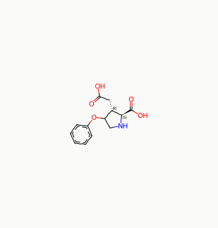 O=C(O)C[C@H]1C(Oc2ccccc2)CN[C@@H]1C(=O)O